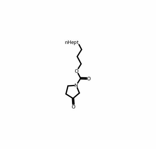 CCCCCCCCCCOC(=O)N1CCC(=O)C1